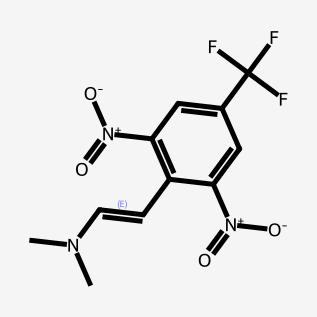 CN(C)/C=C/c1c([N+](=O)[O-])cc(C(F)(F)F)cc1[N+](=O)[O-]